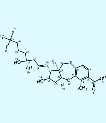 Cc1c(C(=O)O)ccc2c1O[C@H]1C[C@@H](O)[C@H](/C=C/C[C@@](C)(O)CCCC(F)(F)F)[C@H]1CC2